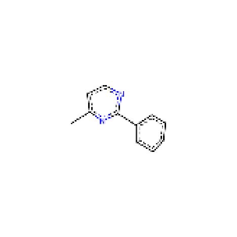 Cc1ccnc(-c2ccccc2)n1